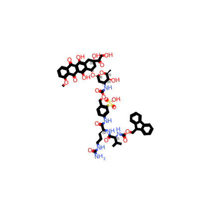 COc1cccc2c1C(=O)c1c(O)c3c(c(O)c1C2=O)C[C@@](O)(C(=O)CO)C[C@@H]3O[C@H]1C[C@H](NC(=O)OCc2ccc(NC(=O)[C@H](CCCNC(N)=O)NC(=O)[C@@H](NC(=O)OCC3c4ccccc4-c4ccccc43)C(C)C)cc2S(=O)(=O)O)[C@H](O)[C@H](C)O1